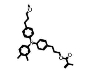 C=C(C)C(=O)OCCCC1=CCC(N(c2ccc(CCCOC)cc2)c2ccc(C)c(C)c2)C=C1